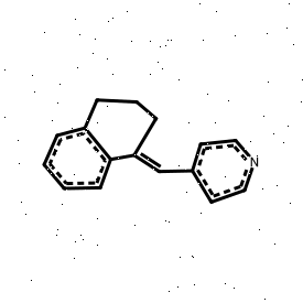 C(=C1CCCc2ccccc21)c1ccncc1